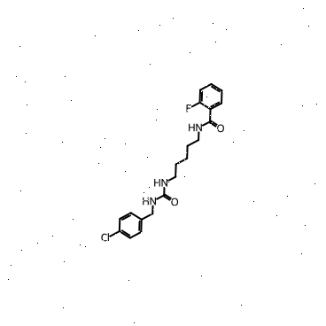 O=C(NCCCCCNC(=O)c1ccccc1F)NCc1ccc(Cl)cc1